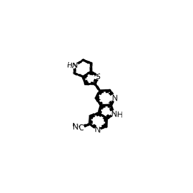 N#Cc1cc2c(cn1)[nH]c1ncc(-c3cc4c(s3)CCNC4)cc12